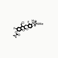 CNS(=O)(=O)Nc1cccc(Cc2c(CCl)c3cc(F)c(OC(=O)N(C)C)cc3oc2=O)c1F